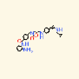 Nc1ccccc1NC(=O)c1ccc(CN2CC(CNc3ccc([C@H]4CC4NCC4CC4)cc3)OC2=O)cc1